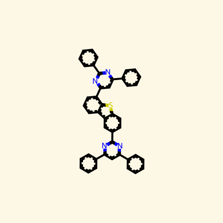 c1ccc(-c2cc(-c3ccccc3)nc(-c3ccc4sc5c(-c6cc(-c7ccccc7)nc(-c7ccccc7)n6)cccc5c4c3)n2)cc1